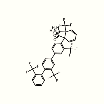 NC(=O)C1(c2ccc(-c3ccc(-c4ccccc4C(F)(F)F)c(C(F)(F)F)c3)cc2C(F)(F)F)C=CC=CC1(C(N)=O)C(F)(F)F